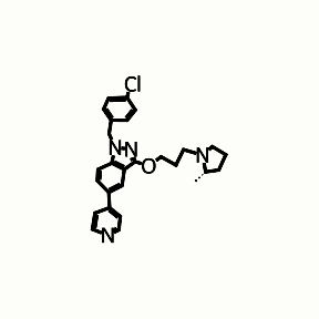 C[C@H]1CCCN1CCCOc1nn(Cc2ccc(Cl)cc2)c2ccc(-c3ccncc3)cc12